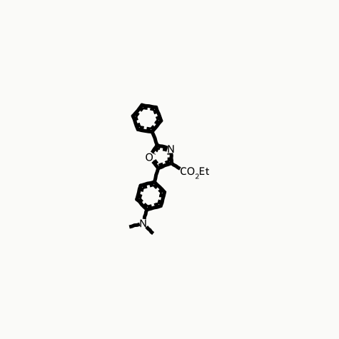 CCOC(=O)c1nc(-c2ccccc2)oc1-c1ccc(N(C)C)cc1